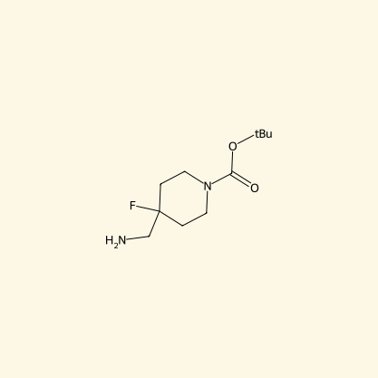 CC(C)(C)OC(=O)N1CCC(F)(CN)CC1